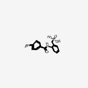 O=C(Nc1ccccc1CP(=O)(O)O)c1ccc(Br)cc1